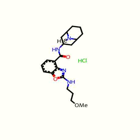 COCCCNc1nc2c(C(=O)NC3CC4CCCC(C3)N4C)cccc2o1.Cl